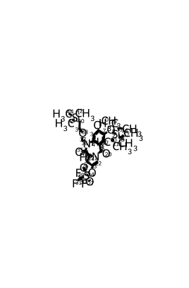 COc1cc2c(cc1O[Si](C(C)C)(C(C)C)C(C)C)C(=O)N1C=C(OS(=O)(=O)C(F)(F)F)C[C@H]1C(=O)N2COCC[Si](C)(C)C